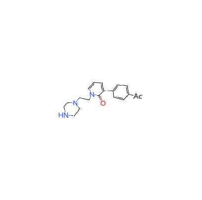 CC(=O)c1ccc(-c2cccn(CCN3CCNCC3)c2=O)cc1